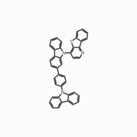 c1ccc2c(c1)sc1c(-n3c4ccccc4c4ccc(-c5ccc(-n6c7ccccc7c7ccccc76)cc5)cc43)ccnc12